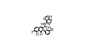 CC(Nc1ncnc2[nH]cnc12)c1cc2ccc(F)c(Cl)c2c(=O)n1-c1cccc(Cl)c1